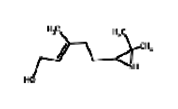 CC(=CCO)CCC1NC1(C)C